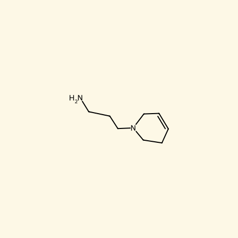 NCCCN1CC=CCC1